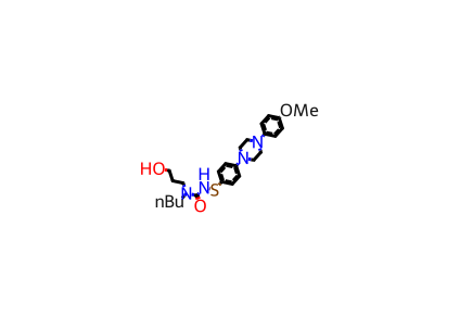 CCCCN(CCCO)C(=O)NSc1ccc(N2CCN(c3ccc(OC)cc3)CC2)cc1